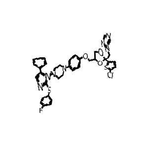 Fc1ccc(Sc2ncc(-c3ccccc3)n2N2CCN(c3ccc(OCC4COC(Cn5cncn5)(c5ccc(Cl)s5)O4)cc3)CC2)cc1